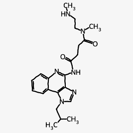 CNCCN(C)C(=O)CCC(=O)Nc1nc2ccccc2c2c1ncn2CC(C)C